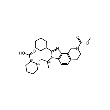 COC(=O)N1CCc2ccc3c(nc(C4CCCCC4)n3[C@@H](C)C[C@@H]3CCCC[C@H]3C(=O)O)c2C1